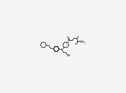 CC(C)CCN(c1ccc(CCN2CCCCC2)cc1)C1CCN(C(=O)[CH]CC(C)C(N)=O)CC1